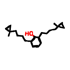 CC1(CCCCc2cccc(CCCCC3(C)CC3)c2O)CC1